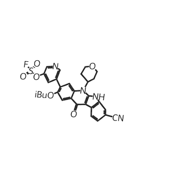 CC(C)COc1cc2c(=O)c3c4ccc(C#N)cc4[nH]c3n(C3CCOCC3)c2cc1-c1cncc(OS(=O)(=O)F)c1